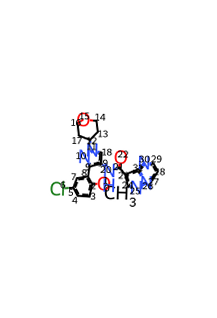 COc1ccc(Cl)cc1-c1nn(C2CCOCC2)cc1NC(=O)c1cnn2cccnc12